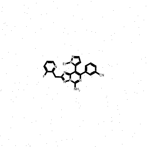 CCn1nccc1-c1c(-c2cccc(C#N)c2)nc(N)n2nc(Cc3ncccc3F)nc12